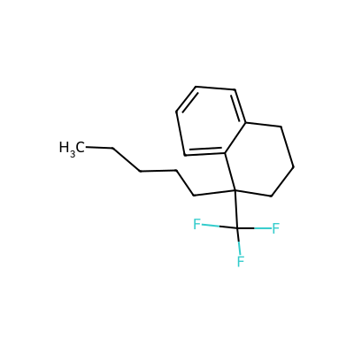 CCCCCC1(C(F)(F)F)CCCc2ccccc21